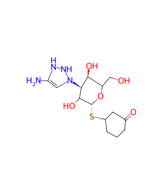 NC1=CN([C@@H]2C(O)[C@@H](SC3CCCC(=O)C3)OC(CO)[C@@H]2O)NN1